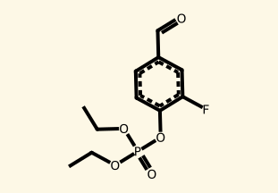 CCOP(=O)(OCC)Oc1ccc(C=O)cc1F